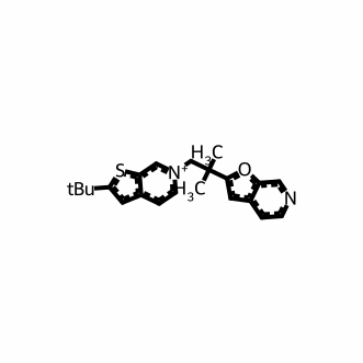 CC(C)(C)c1cc2cc[n+](CC(C)(C)c3cc4ccncc4o3)cc2s1